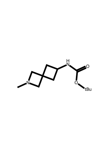 CN1CC2(CC(NC(=O)OC(C)(C)C)C2)C1